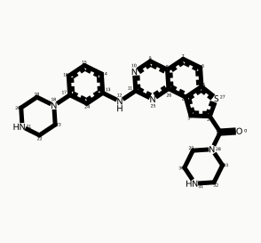 O=C(c1cc2c(ccc3cnc(Nc4cccc(N5CCNCC5)c4)nc32)s1)N1CCNCC1